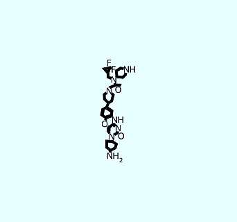 NC1CCC(n2cc3c(nc2=O)Nc2cc(C4CCN(CC5(N(CC6CC6(F)F)C6CCNCC6)CO5)CC4)ccc2O3)CC1